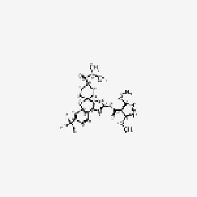 COc1ncnc(OC)c1C(=O)Nc1nc2c(s1)C1(CCC(C(=O)N(C)C)CC1)Oc1cc(C(F)(F)F)ccc1-2